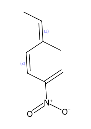 C=C(/C=C\C(C)=C/C)[N+](=O)[O-]